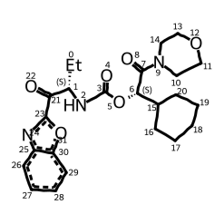 CC[C@H](NC(=O)O[C@H](C(=O)N1CCOCC1)C1CCCCC1)C(=O)c1nc2ccccc2o1